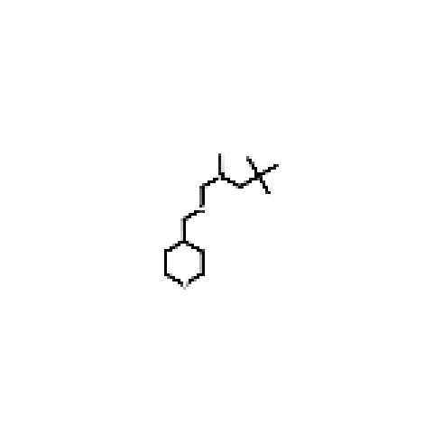 CN(COCC1CCOCC1)CC(C)(C)C